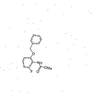 COC(=O)Nc1c(F)cccc1OCc1ccccc1